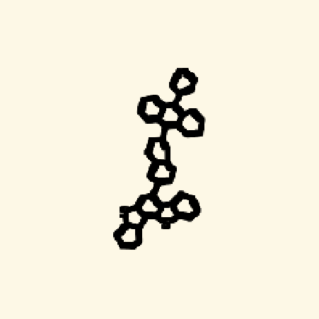 c1ccc(-c2c3ccccc3c(-c3ccc4cc(-c5cc6sc7ccccc7c6c6sc7ccccc7c56)ccc4c3)c3ccccc23)cc1